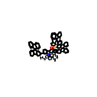 CC(C)(C)n1c2cc(-c3ccc4c(c3)C3(c5ccccc5-c5ccccc53)c3ccccc3-4)ccc2c2ccc(-c3ccc4c(c3)C3(c5ccccc5-4)c4ccccc4-c4ccc(P(=O)(c5ccccc5)c5ccc6c(c5)C5(c7ccccc7-c7ccccc75)c5ccccc5-6)cc43)cc21